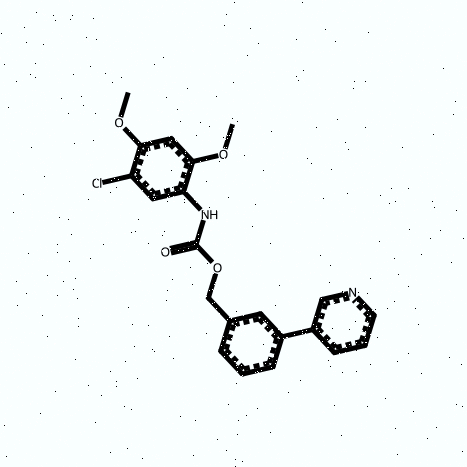 COc1cc(OC)c(NC(=O)OCc2cccc(-c3cccnc3)c2)cc1Cl